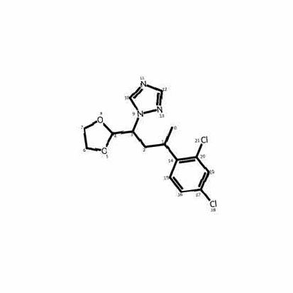 CC(CC(C1OCCO1)n1cncn1)c1ccc(Cl)cc1Cl